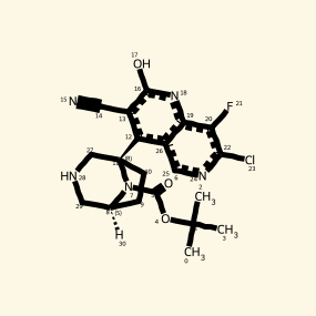 CC(C)(C)OC(=O)N1[C@H]2CC[C@@]1(c1c(C#N)c(O)nc3c(F)c(Cl)ncc13)CNC2